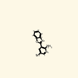 Nc1ncc(Br)cc1-c1nc2ccccc2o1